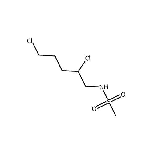 CS(=O)(=O)NCC(Cl)CCCCl